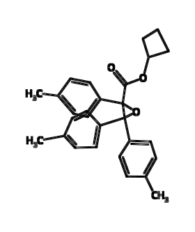 Cc1ccc(C2(C(=O)OC3CCC3)OC2(c2ccc(C)cc2)c2ccc(C)cc2)cc1